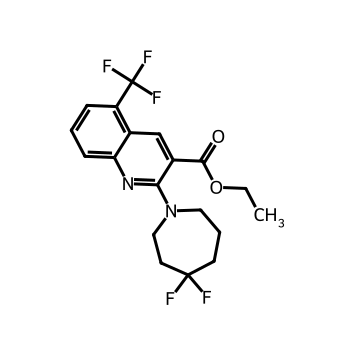 CCOC(=O)c1cc2c(C(F)(F)F)cccc2nc1N1CCCC(F)(F)CC1